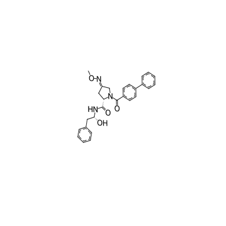 CO/N=C1\C[C@@H](C(=O)N[C@H](O)Cc2ccccc2)N(C(=O)c2ccc(-c3ccccc3)cc2)C1